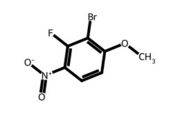 COc1ccc([N+](=O)[O-])c(F)c1Br